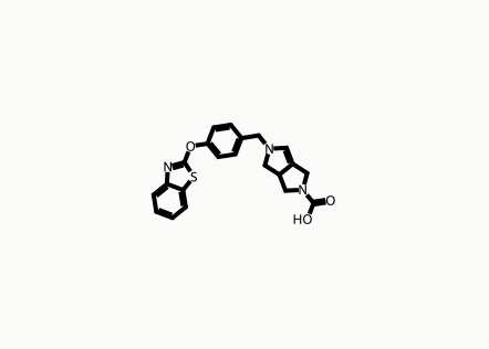 O=C(O)N1CC2=CN(Cc3ccc(Oc4nc5ccccc5s4)cc3)CC2C1